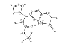 CC1Oc2ccc(C(c3ccco3)N(C)C(=O)OC(C)(C)C)cc2NC1=O